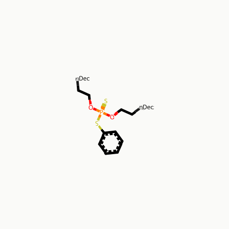 CCCCCCCCCCCCOP(=S)(OCCCCCCCCCCCC)Sc1ccccc1